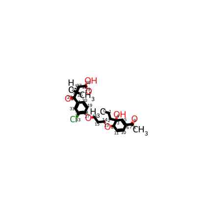 CCCC1(O)C=C(C(C)=O)C=CC1OCCCOc1ccc(C(=O)C(C)(C)CC(=O)O)cc1Cl